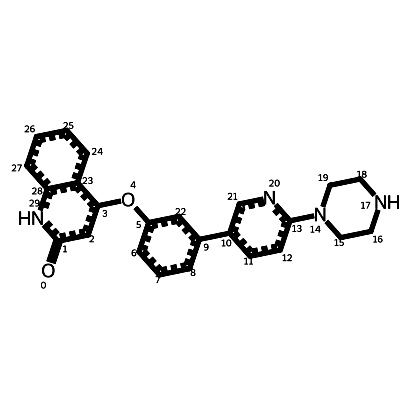 O=c1cc(Oc2cccc(-c3ccc(N4CCNCC4)nc3)c2)c2ccccc2[nH]1